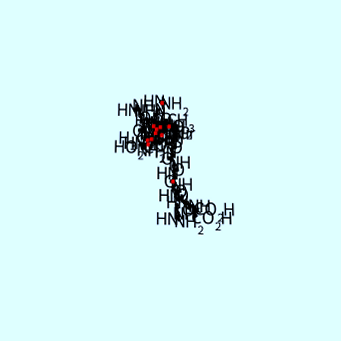 CC[C@H](C)[C@H](N)C(=O)N[C@H](C(=O)N[C@@H](CCCNC(=N)N)C(=O)N[C@@H](CCCNC(=N)N)C(=O)N[C@@H](C)C(=O)N[C@@H](CC(=O)O)C(=O)N[C@@H](CCCNC(=N)N)C(=O)N[C@@H](C)C(=O)N[C@@H](C)C(=O)N[C@H](C(=O)N1CCC[C@H]1C(=O)NCC(=O)NCC(=O)NCC(=O)NCC(=O)N[C@@H](CCCNC(=N)N)C(=O)NCC(=O)N[C@@H](CC(=O)O)C(=O)O)C(C)C)C(C)C